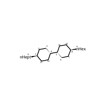 CCCCCCC[C@H]1CC[C@H]([C@H]2CC[C@H](CCCCCC)CC2)CC1